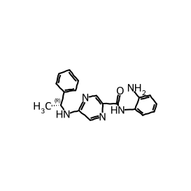 C[C@@H](Nc1cnc(C(=O)Nc2ccccc2N)cn1)c1ccccc1